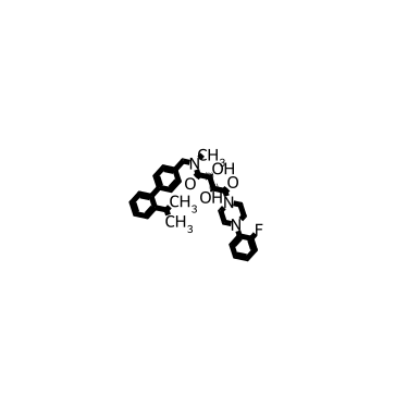 CC(C)c1ccccc1-c1ccc(CN(C)C(=O)[C@H](O)[C@@H](O)C(=O)N2CCN(c3ccccc3F)CC2)cc1